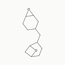 C1CC2OC2CC1CC1CCC2CC1O2